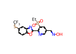 CCS(=O)(=O)c1cc(/C=N/O)cnc1-c1nc2cc(SC(F)(F)F)ccc2o1